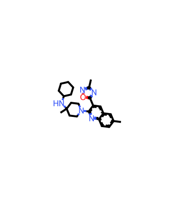 Cc1ccc2nc(N3CCC(C)(NC4CCCCC4)CC3)c(-c3nc(C)no3)cc2c1